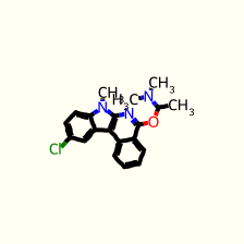 CC(Oc1nc2c(c3ccccc13)c1cc(Cl)ccc1n2C)N(C)C